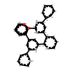 c1ccc(-c2cc(-c3ccccn3)nc(-c3ncccc3-c3cc(-c4ccccc4)nc(-c4ccccc4)n3)c2)cc1